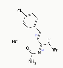 CC(C)NC(/C=C/c1ccc(Cl)cc1)=N/C(N)=O.Cl